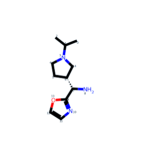 CC(C)N1CC[C@@H](C(N)c2ncco2)C1